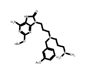 CCCCOc1nc(N)c2[nH]c(=O)n(CCCN(CCCN(C)C)Cc3cccc(OC(C)=O)c3)c2n1